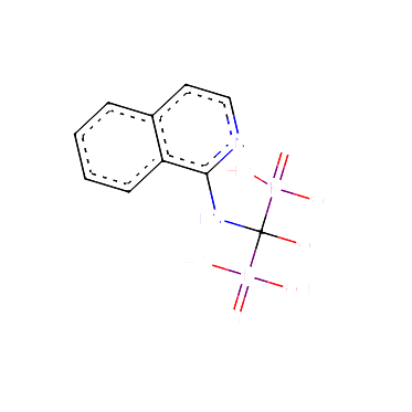 O=P(O)(O)C(O)(Nc1nccc2ccccc12)P(=O)(O)O